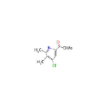 COC(=O)c1cc(Cl)c(C)c(C)n1